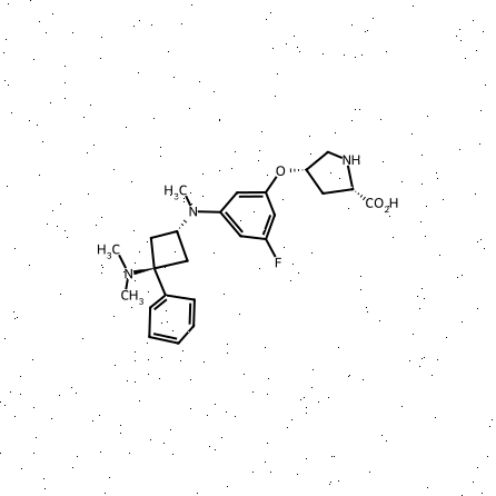 CN(c1cc(F)cc(O[C@@H]2CN[C@H](C(=O)O)C2)c1)[C@H]1C[C@](c2ccccc2)(N(C)C)C1